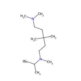 CC(N(C)CCC(C)(C)CCN(C)C)C(C)(C)C